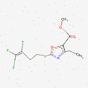 COC(=O)c1oc(SCCC(F)=C(F)F)nc1C